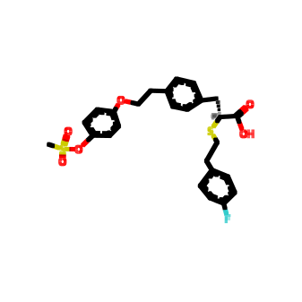 CS(=O)(=O)Oc1ccc(OCCc2ccc(C[C@@H](SCCc3ccc(F)cc3)C(=O)O)cc2)cc1